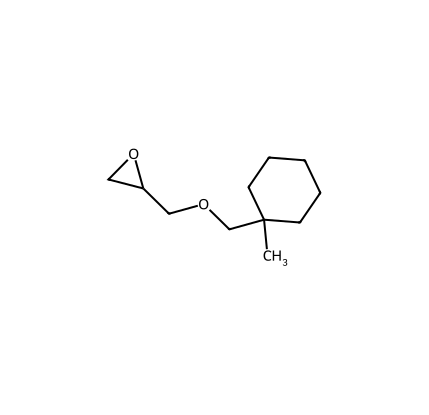 CC1(COCC2CO2)CCCCC1